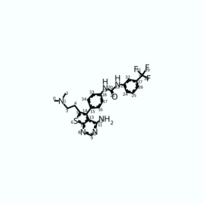 CN(C)CCc1sc2ncnc(N)c2c1-c1ccc(NC(=O)Nc2cccc(C(F)(F)F)c2)cc1